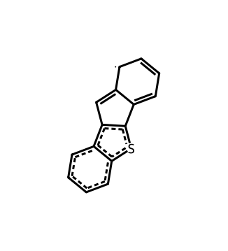 [CH]1C=CC=C2C1=Cc1c2sc2ccccc12